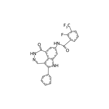 O=C(Nc1cc2c3c(c(-c4ccccc4)[nH]c3c1)C=NNC2=O)c1cccc(C(F)(F)F)c1F